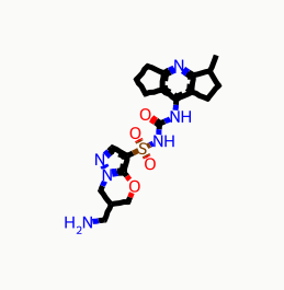 CC1CCc2c1nc1c(c2NC(=O)NS(=O)(=O)c2cnn3c2OCC(CN)C3)CCC1